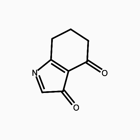 O=C1C=NC2=C1C(=O)CCC2